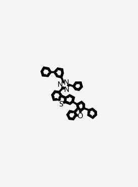 c1ccc(-c2cccc(-c3nc(-c4ccccc4)nc(-c4cccc5sc6cc(-c7ccc(-c8ccccc8)c8oc9ccccc9c78)ccc6c45)n3)c2)cc1